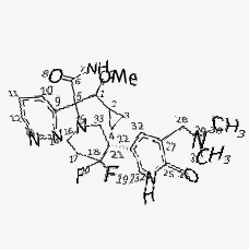 COC(C1CC1)C(C(N)=O)(c1cccnn1)N1CCC(F)(F)[C@@H](c2c[nH]c(=O)c(CN(C)C)c2)C1